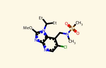 CCC(CC)n1c(OC)nc2ncc(Cl)c(CN(C)S(C)(=O)=O)c21